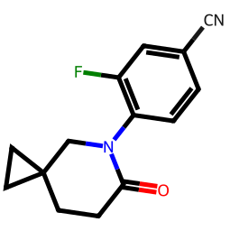 N#Cc1ccc(N2CC3(CCC2=O)CC3)c(F)c1